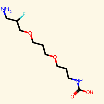 NCC(F)COCCCOCCCNC(=O)O